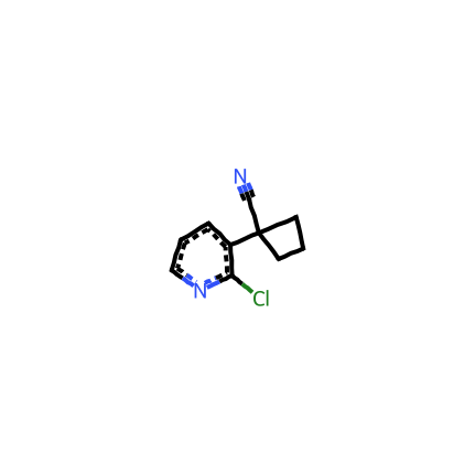 N#CC1(c2cccnc2Cl)CCC1